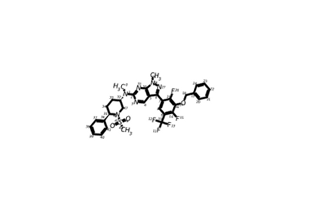 CN(c1ncc2c(-c3cc(C(F)(F)F)c(F)c(OCc4ccccc4)c3F)nn(C)c2n1)[C@H]1CC[C@H](c2ccccc2)N(S(C)(=O)=O)C1